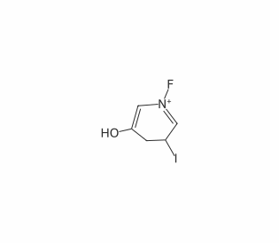 OC1=C[N+](F)=CC(I)C1